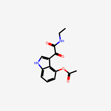 CCNC(=O)C(=O)c1c[nH]c2cccc(OC(C)=O)c12